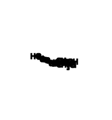 CC(C)(c1ccc(OCCOCCOCCO)cc1)c1ccc(OC[C@H](O)CCl)cc1